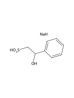 O=S(=O)(O)CC(O)c1ccccc1.[NaH]